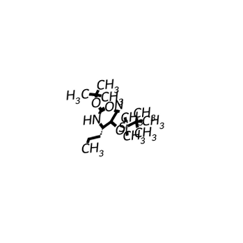 CCC[C@H](NC(=O)OC(C)(C)C)C(C#N)O[Si](C)(C)C(C)(C)C